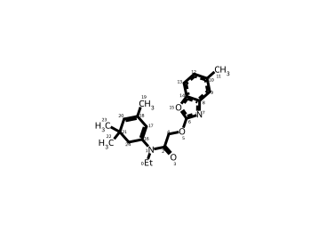 CCN(C(=O)COc1nc2cc(C)ccc2o1)C1=CC(C)=CC(C)(C)C1